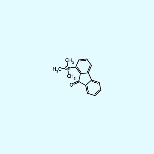 [CH3][Sn]([CH3])([CH3])[c]1cccc2c1C(=O)c1ccccc1-2